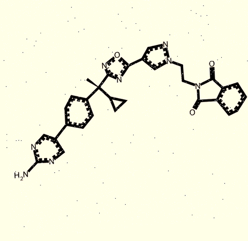 C[C@@](c1ccc(-c2cnc(N)nc2)cc1)(c1noc(-c2cnn(CCN3C(=O)c4ccccc4C3=O)c2)n1)C1CC1